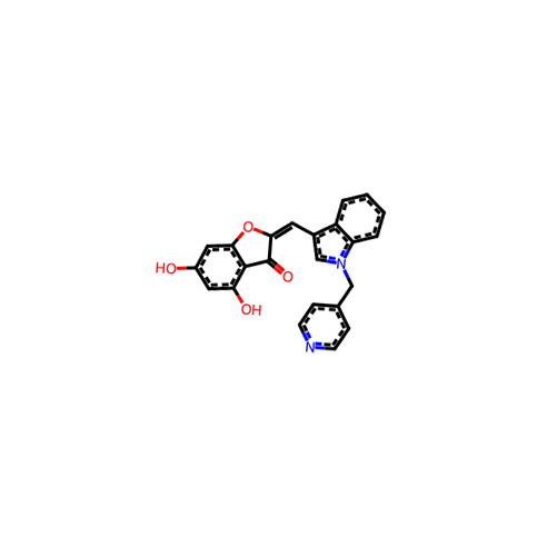 O=C1C(=Cc2cn(Cc3ccncc3)c3ccccc23)Oc2cc(O)cc(O)c21